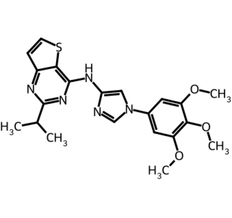 COc1cc(-n2cnc(Nc3nc(C(C)C)nc4ccsc34)c2)cc(OC)c1OC